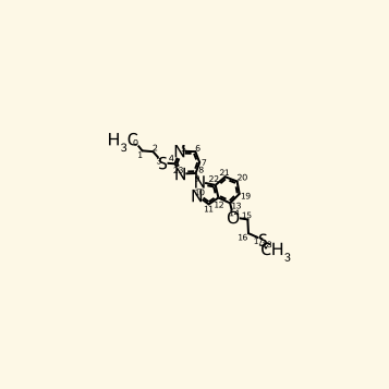 CCCSc1nccc(-n2ncc3c(OCCSC)cccc32)n1